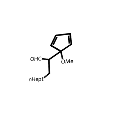 CCCCCCCCC(C=O)C1(OC)C=CC=C1